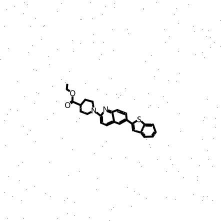 CCOC(=O)C1CCN(c2ccc3cc(-c4cc5ccccc5s4)ccc3n2)CC1